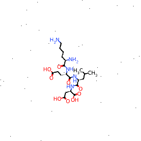 CC(C)C[C@H](NC(=O)[C@H](CCC(=O)O)NC(=O)[C@H](N)CCCCN)C(=O)N[C@H](CC(=O)O)C(=O)O